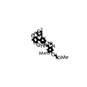 COCCOc1cc2ncnc(Nc3ccc(N4C[C@@H](C)O[C@@H](C)C4)c(C4=CC(=O)C=CC4=O)c3)c2cc1OC